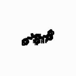 CN(CCN1CCOCC1)c1cnc(NCc2c(F)ccc3c2CCO3)n2cnnc12